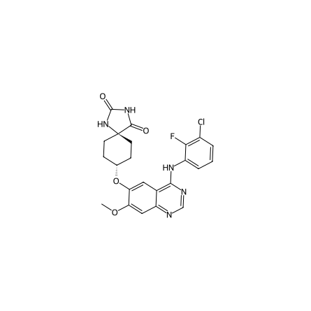 COc1cc2ncnc(Nc3cccc(Cl)c3F)c2cc1O[C@H]1CC[C@@]2(CC1)NC(=O)NC2=O